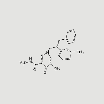 CNC(=O)c1nn(CC(Cc2ccccc2)c2cccc(C)c2)cc(O)c1=O